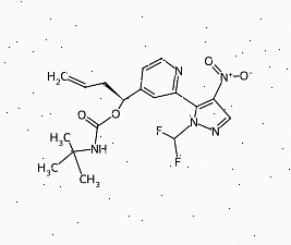 C=CC[C@H](OC(=O)NC(C)(C)C)c1ccnc(-c2c([N+](=O)[O-])cnn2C(F)F)c1